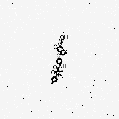 COc1cc2c(Oc3ccc(NC(=O)c4c(C)n(C)n(-c5ccc(C)cc5)c4=O)cc3)ccnc2cc1OCC(C)(C)O